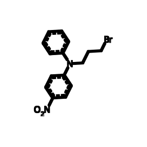 O=[N+]([O-])c1ccc(N(CCCBr)c2ccccc2)cc1